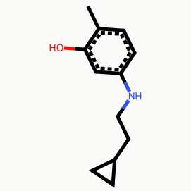 Cc1ccc(NCCC2CC2)cc1O